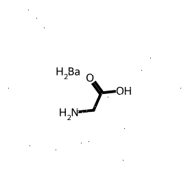 NCC(=O)O.[BaH2]